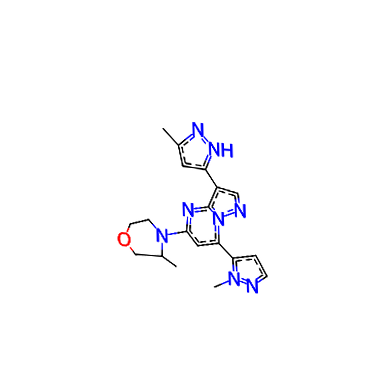 Cc1cc(-c2cnn3c(-c4ccnn4C)cc(N4CCOCC4C)nc23)[nH]n1